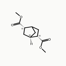 COC(=O)[C@H]1C[C@H]2CC1C[C@@H]2C(=O)OC